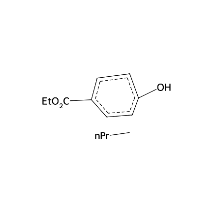 CCCC.CCOC(=O)c1ccc(O)cc1